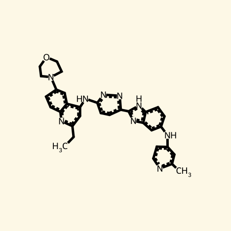 CCc1cc(Nc2ccc(-c3nc4cc(Nc5ccnc(C)c5)ccc4[nH]3)nn2)c2cc(N3CCOCC3)ccc2n1